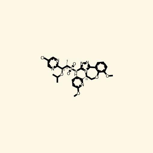 COc1cccc([C@H]2COc3c(OC)cccc3-c3nnc(NS(=O)(=O)[C@@H](C)[C@@H](OC(C)C)c4ncc(Cl)cn4)n32)n1